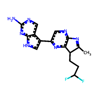 CC1=Nc2ncc(-c3c[nH]c4nc(N)ncc34)nc2C1CCC(F)F